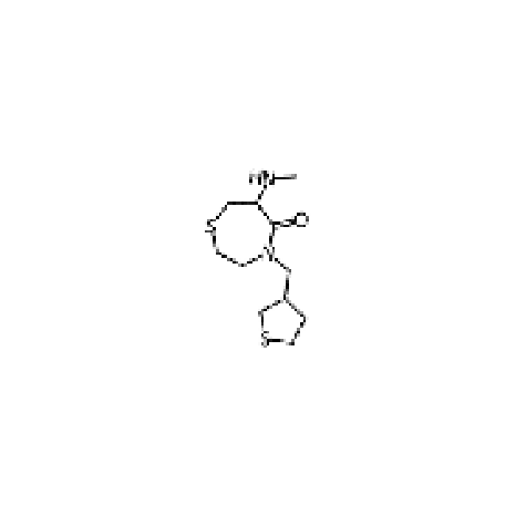 CNC1CSCCN(CC2CCSC2)C1=O